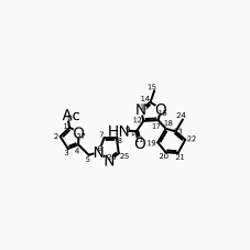 CC(=O)c1ccc(Cn2cc(NC(=O)c3nc(C)oc3-c3ccccc3C)cn2)o1